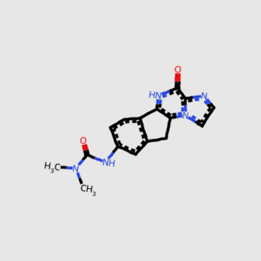 CN(C)C(=O)Nc1ccc2c(c1)Cc1c-2[nH]c(=O)c2nccn12